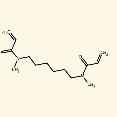 C=CC(=O)N(C)CCCCCCN(C)C(=O)C=C